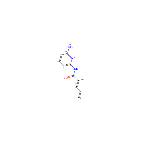 C=C/C=C(\C)C(=O)Nc1cccc(N)n1